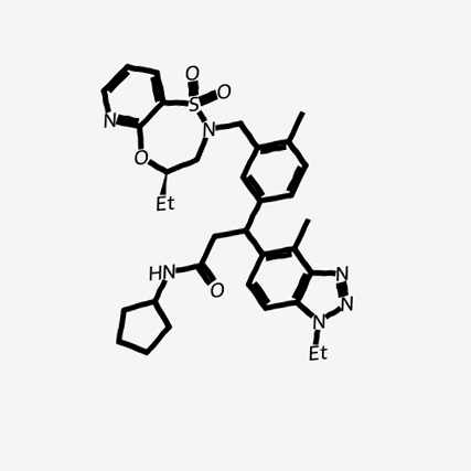 CC[C@@H]1CN(Cc2cc(C(CC(=O)NC3CCCC3)c3ccc4c(nnn4CC)c3C)ccc2C)S(=O)(=O)c2cccnc2O1